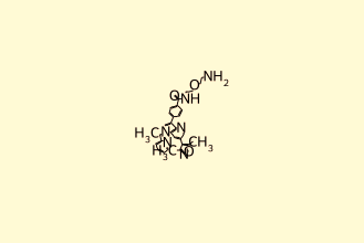 Cc1noc(C)c1-c1cnc2c(-c3ccc(C(=O)NCCOCCN)cc3)cn([C@@H](C)c3ccccn3)c2c1